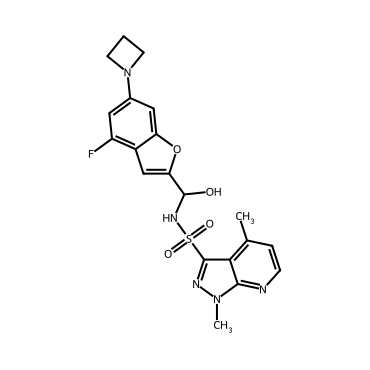 Cc1ccnc2c1c(S(=O)(=O)NC(O)c1cc3c(F)cc(N4CCC4)cc3o1)nn2C